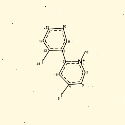 C[n+]1ccc(I)cc1-c1ccccc1I